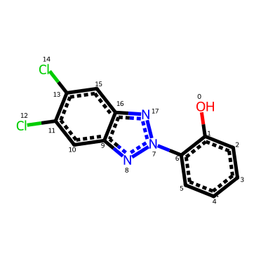 Oc1cc[c]cc1-n1nc2cc(Cl)c(Cl)cc2n1